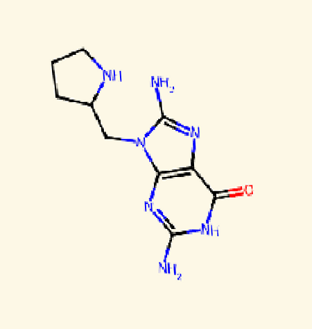 Nc1nc2c(nc(N)n2CC2CCCN2)c(=O)[nH]1